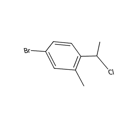 Cc1cc(Br)ccc1C(C)Cl